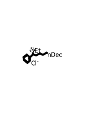 CCCCCCCCCCCCCCC(c1ccccc1)[N+](C)(C)CC.[Cl-]